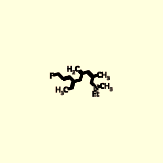 C=C(/C=C(/C)CN(C)CC)CC(=C/C)/C=C/CF